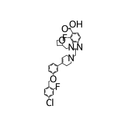 O=C(O)c1ccc2nc(CN3CC=C(c4cccc(OCc5ccc(Cl)cc5F)c4)CC3)n(CC3CCO3)c2c1F